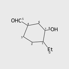 CCC1CCC(C=O)CC1O